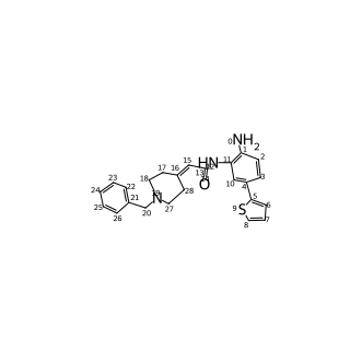 Nc1ccc(-c2cccs2)cc1NC(=O)C=C1CCN(Cc2ccccc2)CC1